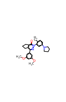 COc1cc(OC)cc(-c2nn(-c3cc(N4CCCC4)ccc3C)c(=O)c3c2CCC3)c1